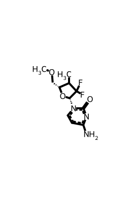 COC[C@H]1O[C@@H](n2ccc(N)nc2=O)C(F)(F)C1C